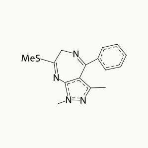 CSC1=Nc2c(c(C)nn2C)C(c2ccccc2)=NC1